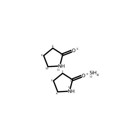 O=C1CCCN1.O=C1CCCN1.[SiH4]